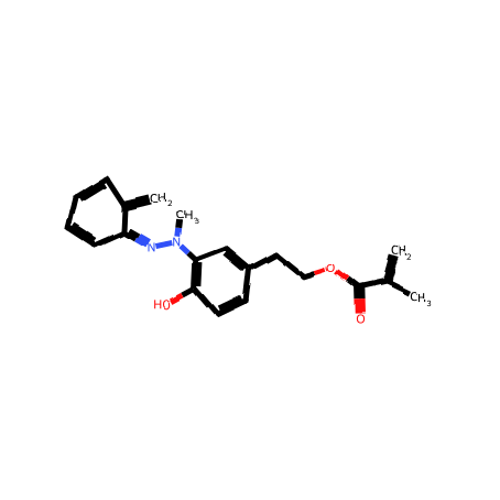 C=C(C)C(=O)OCCc1ccc(O)c(N(C)/N=C2/C=CC=CC2=C)c1